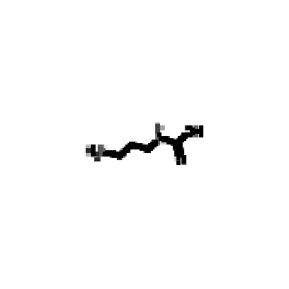 NCCCNC(=O)O